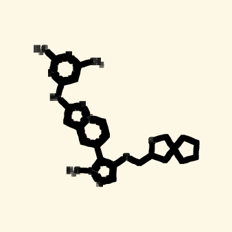 Cc1cc(Nc2cc3cc(-c4c(OCC5CC6(CCCC6)CO5)cnn4C)ccn3n2)nc(C)n1